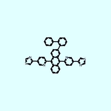 c1ccc(-c2ccccc2-c2ccc3c(-c4ccc(-c5cscn5)cn4)c4ccccc4c(-c4ccc(-c5cscn5)cn4)c3c2)cc1